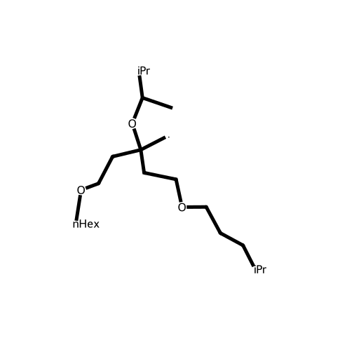 [CH2]C(CCOCCCCCC)(CCOCCCC(C)C)OC(C)C(C)C